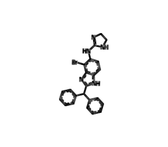 Brc1c(NC2=NCCN2)ccc2[nH]c(C(c3ccccc3)c3ccccc3)nc12